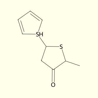 CC1SC([SH]2C=CC=C2)CC1=O